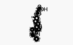 CC1C2CC[C@]3(C)C(CC[C@@H]4C5CCC[C@]5(C(=O)N5CCC[C@H]5c5ncc(-c6ccccc6)[nH]5)CC[C@]43C)[C@@]2(C)CC[C@@H]1OC(=O)CC(C)(C)C(=O)O